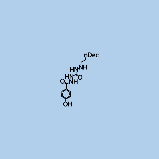 CCCCCCCCCCCCNNC(=O)NNC(=O)c1ccc(O)cc1